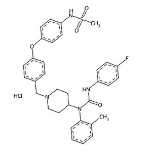 Cc1ccccc1N(C(=O)Nc1ccc(F)cc1)C1CCN(Cc2ccc(Oc3ccc(NS(C)(=O)=O)cc3)cc2)CC1.Cl